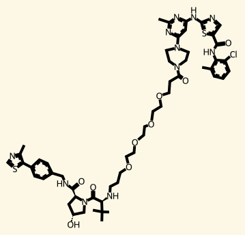 Cc1nc(Nc2ncc(C(=O)Nc3c(C)cccc3Cl)s2)cc(N2CCN(C(=O)CCOCCOCCOCCOCCCN[C@H](C(=O)N3C[C@H](O)C[C@H]3C(=O)NCc3ccc(-c4scnc4C)cc3)C(C)(C)C)CC2)n1